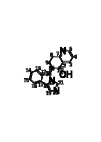 O[C@H]1c2cccnc2CC[C@@H]1[C@H]1c2ccccc2-c2cncn21